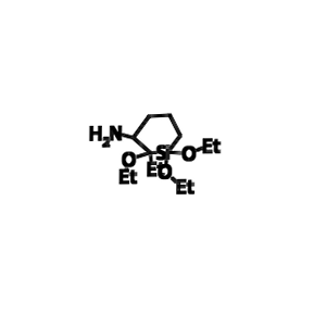 CCOC1(CC)C(N)CCC[Si]1(OCC)OCC